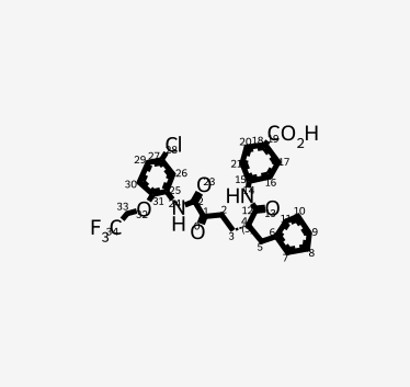 O=C(CC[C@@H](Cc1ccccc1)C(=O)Nc1ccc(C(=O)O)cc1)C(=O)Nc1cc(Cl)ccc1OCC(F)(F)F